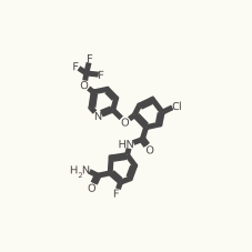 NC(=O)c1cc(NC(=O)c2cc(Cl)ccc2Oc2ccc(OC(F)(F)F)cn2)ccc1F